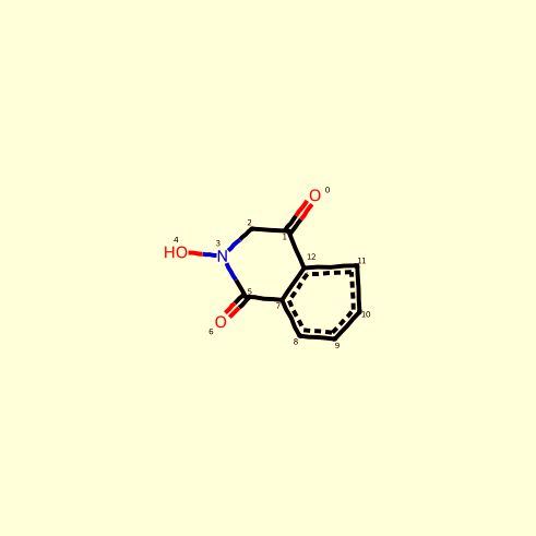 O=C1CN(O)C(=O)c2ccccc21